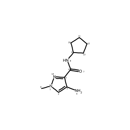 Cn1cc(N)c(C(=O)NC2CCCC2)n1